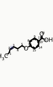 CC/C=C\CCOc1ccc(C(=O)O)cc1